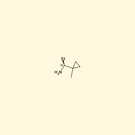 CC[C@H](N)C1(C)CC1